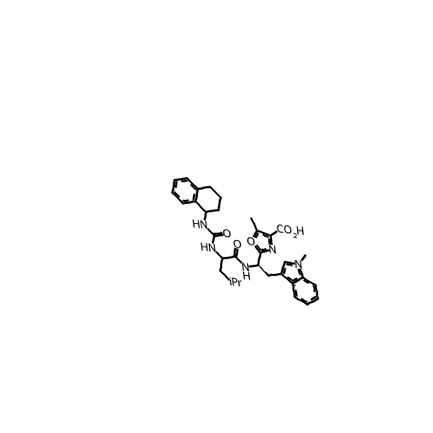 Cc1oc([C@@H](Cc2cn(C)c3ccccc23)NC(=O)C(CC(C)C)NC(=O)NC2CCCc3ccccc32)nc1C(=O)O